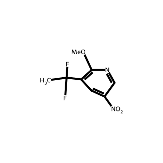 COc1ncc([N+](=O)[O-])cc1C(C)(F)F